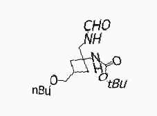 CCCCOCC1CC(CNC=O)(NC(=O)OC(C)(C)C)C1